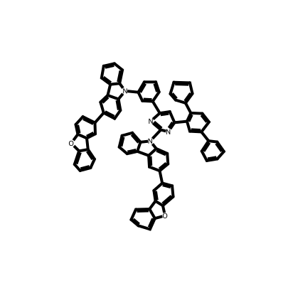 c1ccc(-c2ccc(-c3ccccc3)c(-c3cc(-c4cccc(-n5c6ccccc6c6cc(-c7ccc8oc9ccccc9c8c7)ccc65)c4)nc(-n4c5ccccc5c5cc(-c6ccc7oc8ccccc8c7c6)ccc54)n3)c2)cc1